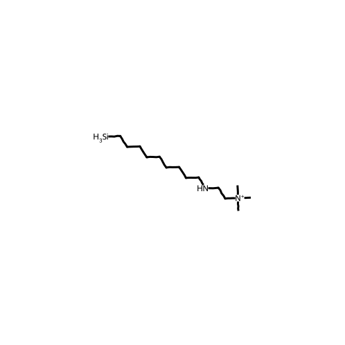 C[N+](C)(C)CCNCCCCCCCCC[SiH3]